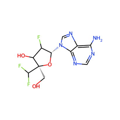 Nc1ncnc2c1ncn2[C@@H]1O[C@@](CO)(C(F)F)C(O)C1F